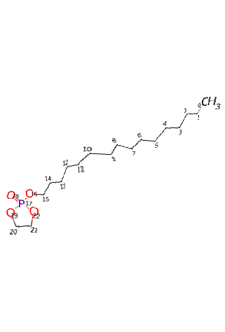 CCCCCCCCCCCCCCCCOP1(=O)OCCO1